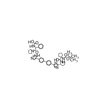 CC(C)(C)OC(=O)NC1(C(=O)N2CCC[C@H]2c2ncc(-c3ccc(-c4ccc(-c5cnc([C@@H]6CCCN6C(=O)[C@H](NC(=O)O)c6ccccc6)[nH]5)cc4)cc3)[nH]2)CCCC1